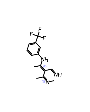 C/N=C(C)\C(C=N)=C(/C)Nc1cccc(C(F)(F)F)c1